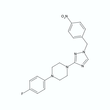 O=[N+]([O-])c1ccc(Cn2cnc(N3CCN(c4ccc(F)cc4)CC3)n2)cc1